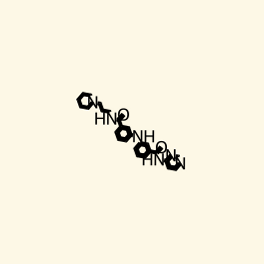 O=C(NCCCN1CCCCC1)c1cccc(Nc2cccc(C(=O)Nc3ccncn3)c2)c1